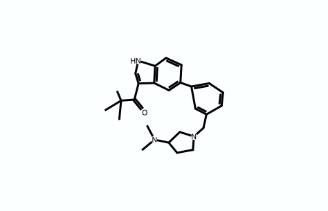 CN(C)C1CCN(Cc2cccc(-c3ccc4[nH]cc(C(=O)C(C)(C)C)c4c3)c2)C1